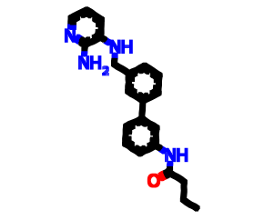 CCCC(=O)Nc1cccc(-c2cccc(CNc3cccnc3N)c2)c1